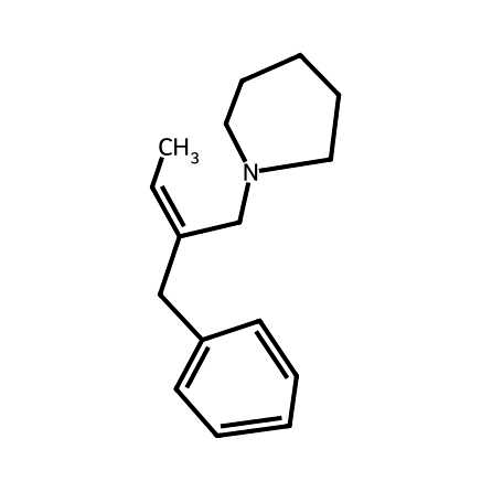 C/C=C(/Cc1ccccc1)CN1CCCCC1